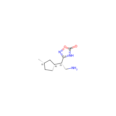 C[C@H]1CC[C@@H]([C@@H](CN)c2noc(=O)[nH]2)C1